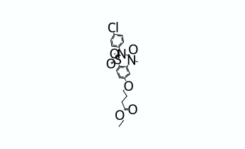 CCOC(=O)CCCOc1ccc2c(c1)N(C)C(=O)N(c1ccc(Cl)cc1)S2(=O)=O